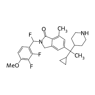 COc1ccc(C(F)N2Cc3cc(C(C)(C4CCNCC4)C4CC4)cc(C)c3C2=O)c(F)c1F